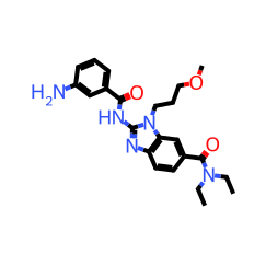 CCN(CC)C(=O)c1ccc2nc(NC(=O)c3cccc(N)c3)n(CCCOC)c2c1